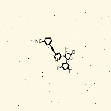 N#Cc1cccc(C#Cc2cncc([C@@H]3NC(=O)O[C@H]3c3cc(F)cc(F)c3)c2)c1